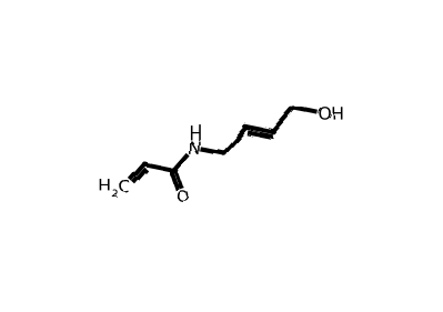 C=CC(=O)NCC=CCO